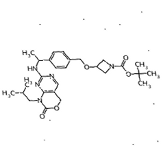 CC(C)CN1C(=O)OCc2cnc(NC(C)c3ccc(COC4CN(C(=O)OC(C)(C)C)C4)cc3)nc21